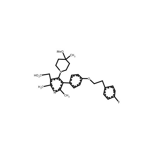 COC1(C)CCN(c2c(CC(=O)O)c(C)nc(C)c2-c2ccc(OCCc3ccc(F)cc3)cc2)CC1